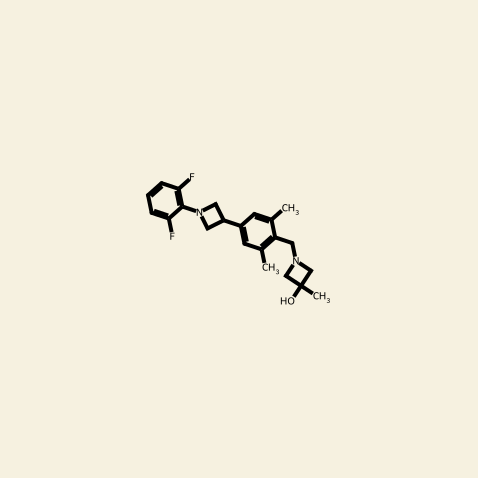 Cc1cc(C2CN(c3c(F)cccc3F)C2)cc(C)c1CN1CC(C)(O)C1